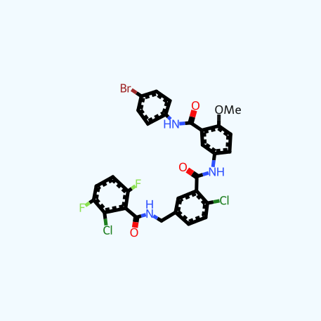 COc1ccc(NC(=O)c2cc(CNC(=O)c3c(F)ccc(F)c3Cl)ccc2Cl)cc1C(=O)Nc1ccc(Br)cc1